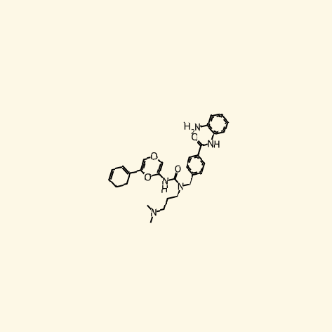 CN(C)CCCN(Cc1ccc(C(=O)Nc2ccccc2N)cc1)C(=O)NC1=COC=C(C2=CC=CCC2)O1